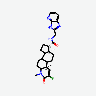 CN1C(=O)C(F)=C[C@]2(C)C3CC[C@@]4(C)C(CC[C@@H]4C(=O)NCc4nc5cccnc5[nH]4)C3CCC12